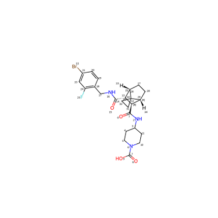 O=C(NC1CCN(C(=O)O)CC1)[C@H]1[C@H](C(=O)NCc2ccc(Br)cc2F)[C@@H]2CC[C@H]1C21CC1